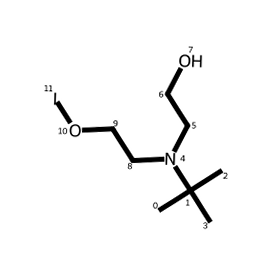 CC(C)(C)N(CCO)CCOI